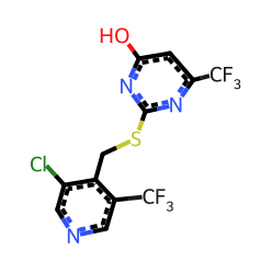 Oc1cc(C(F)(F)F)nc(SCc2c(Cl)cncc2C(F)(F)F)n1